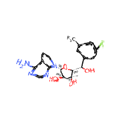 C[C@@]1(O)[C@@H](C(O)c2cc(F)cc(C(F)(F)F)c2)O[C@@H](n2ccc3c(N)ncnc32)[C@@H]1O